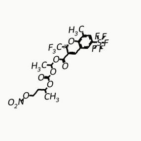 Cc1cc(S(F)(F)(F)(F)F)cc2c1O[C@H](C(F)(F)F)C(C(=O)OC(C)OC(=O)OC(C)CCO[N+](=O)[O-])=C2